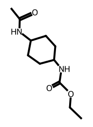 CCOC(=O)NC1CCC(NC(C)=O)CC1